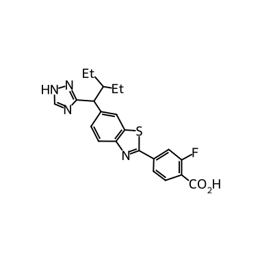 CCC(CC)C(c1ccc2nc(-c3ccc(C(=O)O)c(F)c3)sc2c1)c1nc[nH]n1